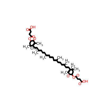 CC1=C(/C=C/C(C)=C/C=C/C(C)=C/C=C/C=C(C)/C=C/C=C(C)/C=C/C2=C(C)C(=O)C(OC(=O)CCC(=O)O)CC2(C)C)C(C)(C)CC(OC(=O)CCC(=O)O)C1=O